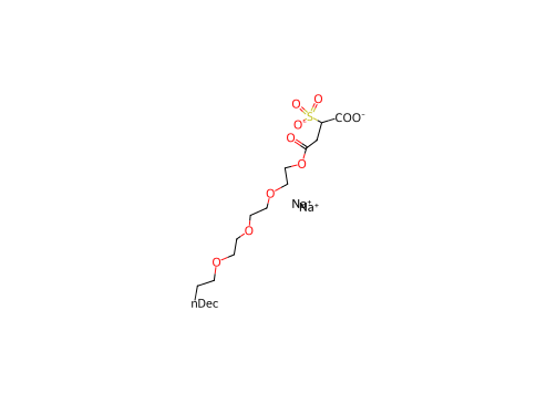 CCCCCCCCCCCCOCCOCCOCCOC(=O)CC(C(=O)[O-])S(=O)(=O)[O-].[Na+].[Na+]